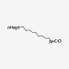 CCCCCCCC[CH]CCCCCCCN=C=O